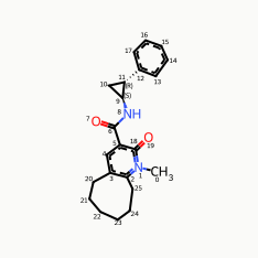 Cn1c2c(cc(C(=O)N[C@H]3C[C@@H]3c3ccccc3)c1=O)CCCCCC2